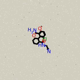 COc1ccc(Cl)c(C2CCCCC2C(=O)NCC#N)c1C(N)=O